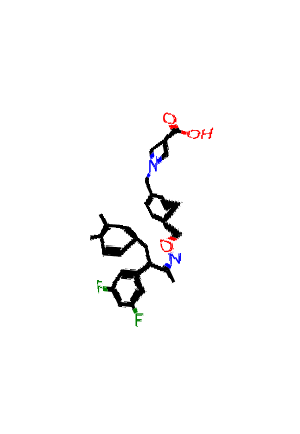 CC(=NOCc1ccc(CN2CC(C(=O)O)C2)cc1)C(Cc1ccc(C)c(C)c1)c1cc(F)cc(F)c1